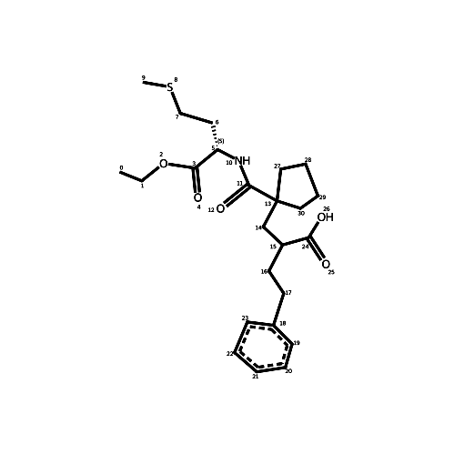 CCOC(=O)[C@H](CCSC)NC(=O)C1(CC(CCc2ccccc2)C(=O)O)CCCC1